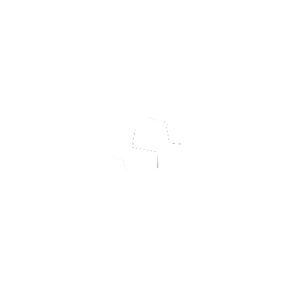 CC(C)C1CCN(C)C(C)C1C(C)C